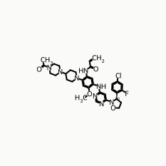 C=CC(=O)Nc1cc(Nc2cc(N3OCC[C@@H]3c3ccc(Cl)cc3F)ncn2)c(OC)cc1N1CCC(N2CCN(C(C)=O)CC2)CC1